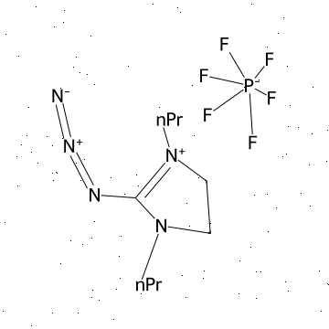 CCCN1CC[N+](CCC)=C1N=[N+]=[N-].F[P-](F)(F)(F)(F)F